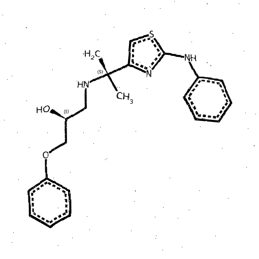 [CH2][C@@](C)(NC[C@H](O)COc1ccccc1)c1csc(Nc2ccccc2)n1